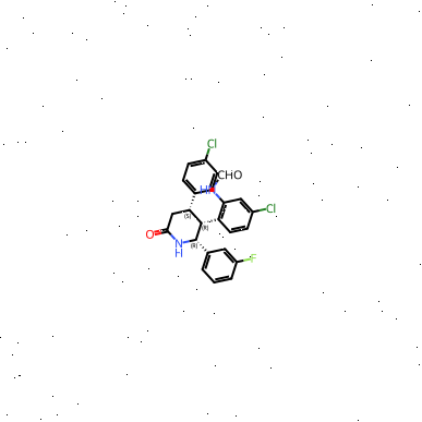 O=CNc1cc(Cl)ccc1[C@H]1[C@@H](c2ccc(Cl)cc2)CC(=O)N[C@H]1c1cccc(F)c1